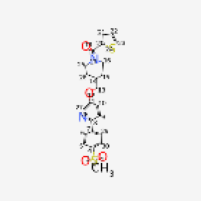 CS(=O)(=O)c1ccc(-c2ccc(OCC3CCN(C(=O)C4CC=CS4)CC3)cn2)cc1